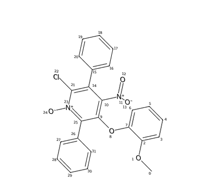 COc1ccccc1Oc1c([N+](=O)[O-])c(-c2ccccc2)c(Cl)[n+]([O-])c1-c1ccccc1